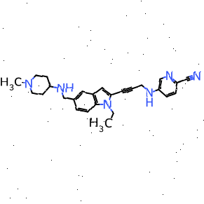 CCn1c(C#CCNc2ccc(C#N)nc2)cc2cc(CNC3CCN(C)CC3)ccc21